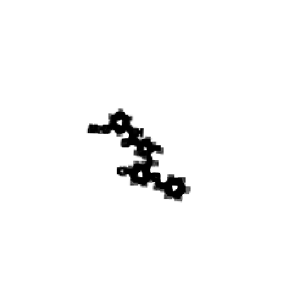 COc1cccc(NC(=O)c2cc(C)n(Cc3cc(Cl)ccc3OCc3ccccc3)n2)c1